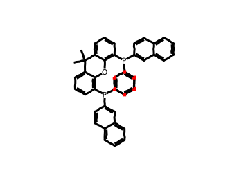 CC1(C)c2cccc(P(c3ccccc3)c3ccc4ccccc4c3)c2Oc2c(P(c3ccccc3)c3ccc4ccccc4c3)cccc21